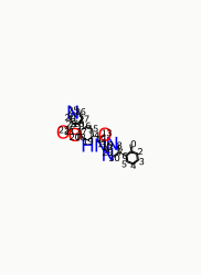 Cc1ccccc1-c1cnc(NC(=O)[C@H]2CC[C@@]3(CC2)OC(=O)c2cnccc23)nc1